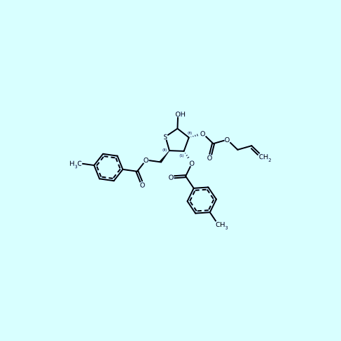 C=CCOC(=O)O[C@H]1C(O)S[C@H](COC(=O)c2ccc(C)cc2)[C@H]1OC(=O)c1ccc(C)cc1